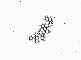 c1ccc(-c2c3ccccc3c(-c3cccc4oc5c(-c6c7ccccc7c(-c7ccc8oc9ccc%10ccccc%10c9c8c7)c7ccccc67)cccc5c34)c3ccccc23)cc#1